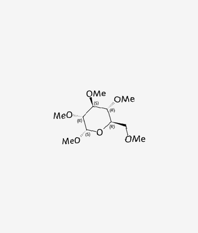 COC[C@H]1O[C@H](OC)[C@H](OC)[C@@H](OC)[C@@H]1OC